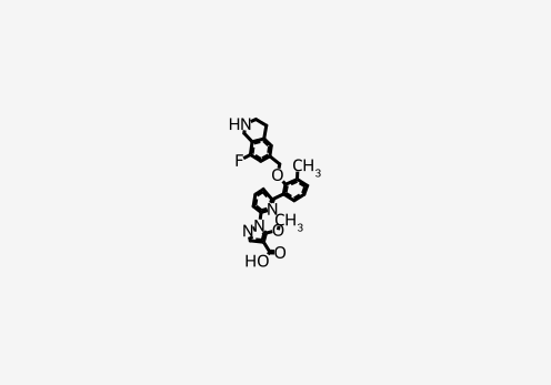 COc1c(C(=O)O)cnn1-c1cccc(-c2cccc(C)c2OCc2cc(F)c3c(c2)CCNC3)n1